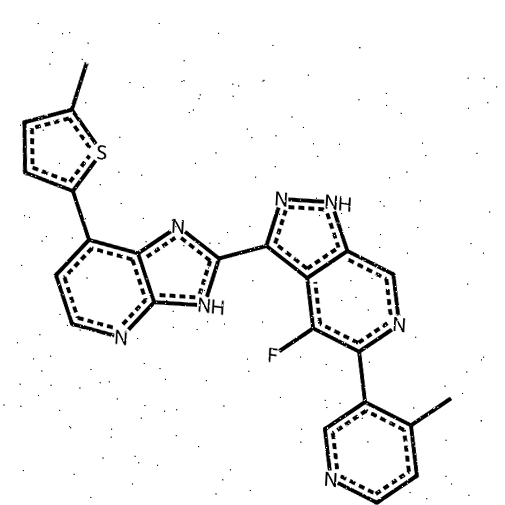 Cc1ccc(-c2ccnc3[nH]c(-c4n[nH]c5cnc(-c6cnccc6C)c(F)c45)nc23)s1